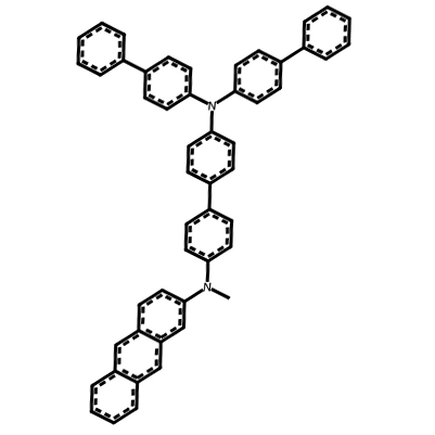 CN(c1ccc(-c2ccc(N(c3ccc(-c4ccccc4)cc3)c3ccc(-c4ccccc4)cc3)cc2)cc1)c1ccc2cc3ccccc3cc2c1